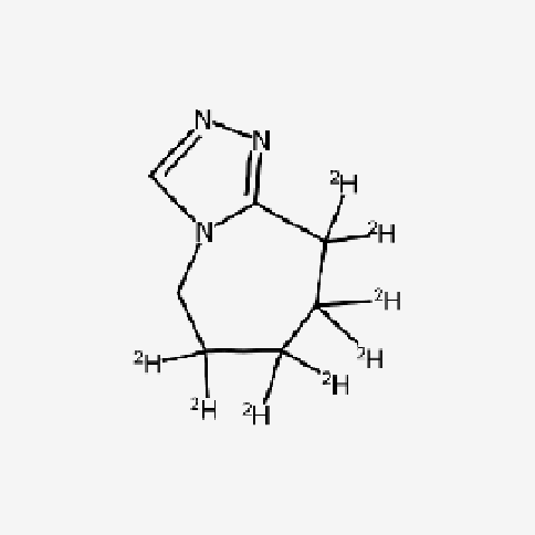 [2H]C1([2H])Cn2cnnc2C([2H])([2H])C([2H])([2H])C1([2H])[2H]